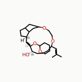 CC(C)=CC1CCC[C@H](O)/C(OC2CCCCO2)=C/[C@H]2CCC3CC(CC32)OCCO1